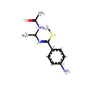 CS/C(=N\C(C)NC(C)=O)c1ccc(N)cc1